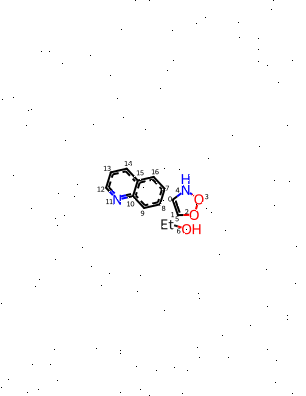 C1=COON1.CCO.c1ccc2ncccc2c1